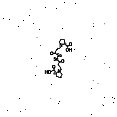 O=C(CCN1CCC[C@H]1C(=O)O)[Se][Se]C(=O)CCN1CCC[C@H]1C(=O)O